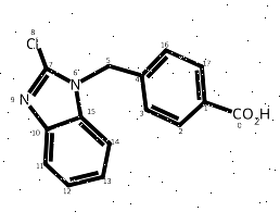 O=C(O)c1ccc(Cn2c(Cl)nc3ccccc32)cc1